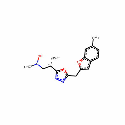 CCCCC[C@@H](CN(O)C=O)c1nnc(Cc2cc3ccc(OC)cc3o2)o1